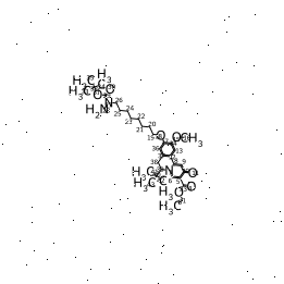 CCOC(=O)c1cn2c(cc1=O)-c1cc(OC)c(OCCCCCCCCN(N)C(=O)OC(C)(C)C)cc1CC2C(C)(C)C